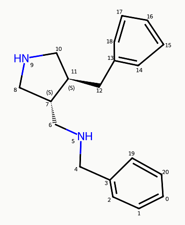 c1ccc(CNC[C@@H]2CNC[C@H]2Cc2ccccc2)cc1